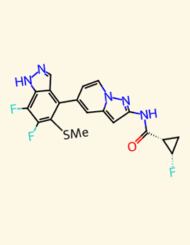 CSc1c(F)c(F)c2[nH]ncc2c1-c1ccn2nc(NC(=O)[C@@H]3C[C@@H]3F)cc2c1